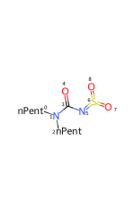 CCCCCN(CCCCC)C(=O)N=S(=O)=O